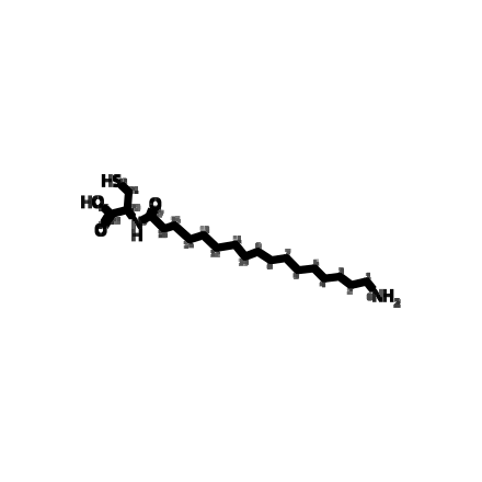 NCCCCCCCCCCCCCCCCC(=O)NC(CS)C(=O)O